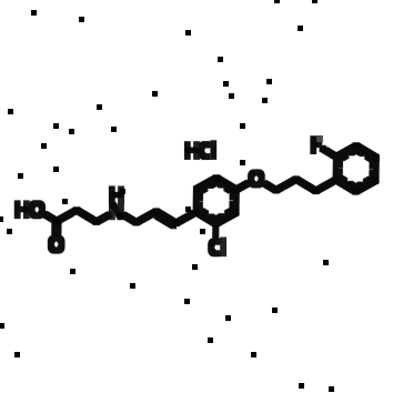 Cl.O=C(O)CCNCC=Cc1ccc(OCCCc2ccccc2F)cc1Cl